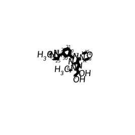 CCn1c(C(O)CO)nc2c(N3CCOCC3)nc(-c3cccc(-c4ccn(C)n4)c3)nc21